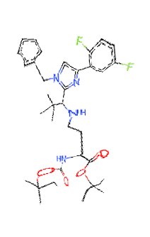 CC(C)(C)OC(=O)NC(CCNC(c1nc(-c2cc(F)ccc2F)cn1Cc1ccccc1)C(C)(C)C)C(=O)OC(C)(C)C